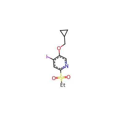 CCS(=O)(=O)c1cc(I)c(OCC2CC2)cn1